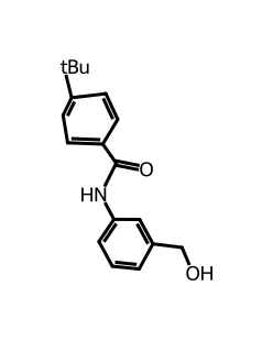 CC(C)(C)c1ccc(C(=O)Nc2cccc(CO)c2)cc1